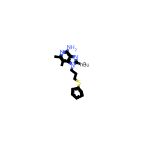 CCCCc1nc2c(N)nc(C)c(C)c2n1CCCSc1ccccc1